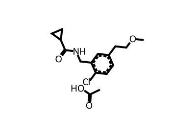 CC(=O)O.COCCc1ccc(Cl)c(CNC(=O)C2CC2)c1